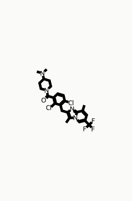 Cc1cc(C(F)(F)F)cn2c(C)c(Cc3c(Cl)ccc(C(=O)N4CCC(N(C)C)CC4)c3Cl)nc12